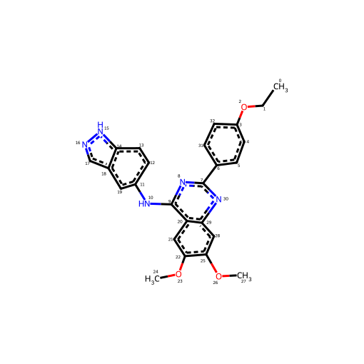 CCOc1ccc(-c2nc(Nc3ccc4[nH]ncc4c3)c3cc(OC)c(OC)cc3n2)cc1